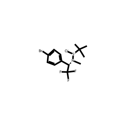 CN([C@@H](c1ccc(Br)cc1)C(F)(F)F)[S+]([O-])C(C)(C)C